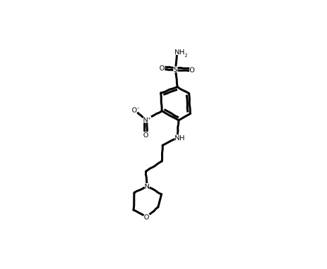 NS(=O)(=O)c1ccc(NCCCN2CCOCC2)c([N+](=O)[O-])c1